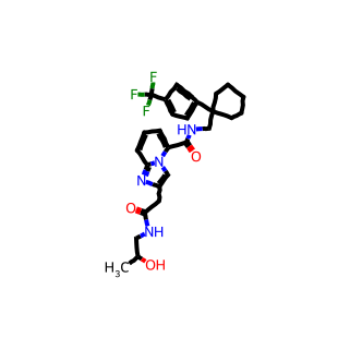 CC(O)CNC(=O)Cc1cn2c(C(=O)NCC3(c4ccc(C(F)(F)F)cc4)CCCCC3)cccc2n1